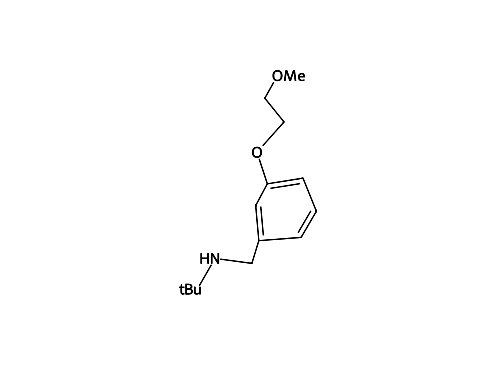 COCCOc1cccc(CNC(C)(C)C)c1